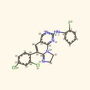 Fc1ccccc1Nc1ncc2c(n1)N1CCN=C1C(c1ccc(Cl)cc1Cl)=C2